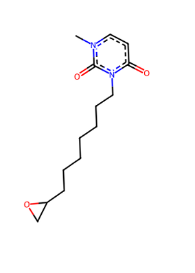 Cn1ccc(=O)n(CCCCCCCC2CO2)c1=O